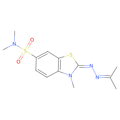 CC(C)=N/N=c1/sc2cc(S(=O)(=O)N(C)C)ccc2n1C